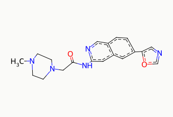 CN1CCN(CC(=O)Nc2cc3cc(-c4cnco4)ccc3cn2)CC1